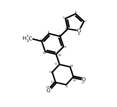 Cc1cc(-c2ccco2)cc(C2CC(=O)CC(=O)C2)c1